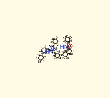 c1ccc(C2=NC(c3cccc(-c4ccccc4)c3)NC(c3cccc(-c4ccc5ccc6c(c5c4)NC(c4ccccc4)O6)c3)=N2)cc1